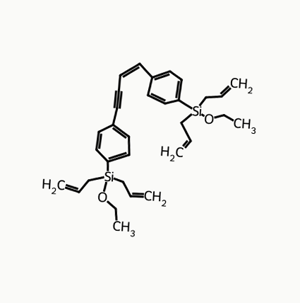 C=CC[Si](CC=C)(OCC)c1ccc(C#C/C=C\c2ccc([Si](CC=C)(CC=C)OCC)cc2)cc1